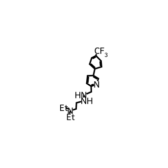 CCN(CC)CCNNCc1ccc(-c2ccc(C(F)(F)F)cc2)cn1